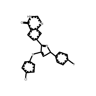 O=c1[nH]cnc2cc(C3=NC(c4ccc(F)cc4)C=C3Sc3ccc(Cl)cc3)ccc12